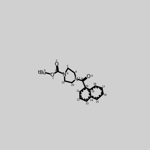 CC(C)(C)OC(=O)N1CCN(C(=O)c2cccc3ccccc23)CC1